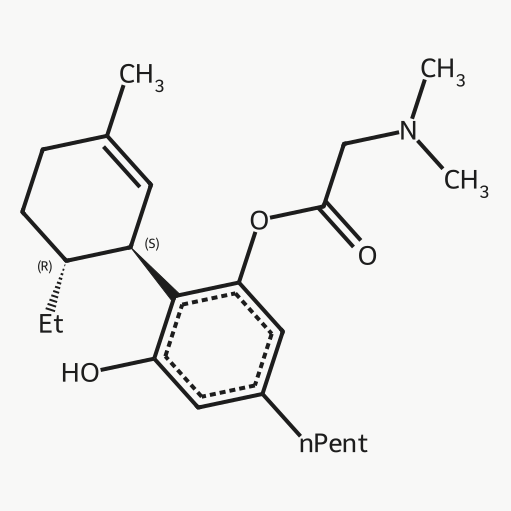 CCCCCc1cc(O)c([C@@H]2C=C(C)CC[C@H]2CC)c(OC(=O)CN(C)C)c1